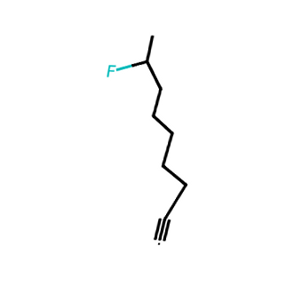 [C]#CCCCCCC(C)F